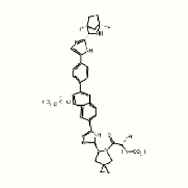 CC(C)[C@H](NC(=O)O)C(=O)N1CC2(CC2)C[C@H]1c1ncc(-c2ccc3cc(-c4ccc(-c5cnc([C@H]6N[C@@H]7CC[C@H]6C7)[nH]5)cc4)ccc3c2)[nH]1.Cl.Cl.Cl.Cl